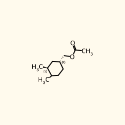 CC(=O)OC[C@@H]1CCC(C)[C@@H](C)C1